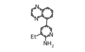 CCc1cc(-c2cccc3nccnc23)cnc1N